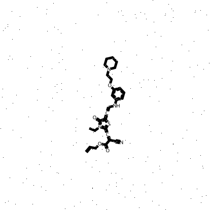 C=CCOC(=O)C(=C=c1sc(=C=CNc2cccc(OCCN3CCCCC3)c2)c(=O)n1CC)C#N